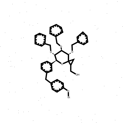 CCOc1ccc(Cc2cccc([C@@H]3OC4(CC4CO)[C@@H](OCc4ccccc4)[C@H](OCc4ccccc4)[C@H]3OCc3ccccc3)c2)cc1